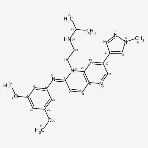 COc1cc(/N=c2\ccc3ncc(-c4cnn(C)c4)cc3n2CCNC(C)C)cc(OC)c1